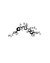 COC(=O)c1ccc(NC(=O)CN2CC[C@H](NC(=O)c3cc(Cl)c(N)nc3OC)[C@H](OC)C2)cc1